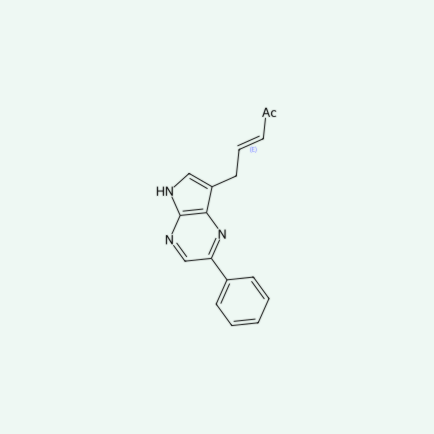 CC(=O)/C=C/Cc1c[nH]c2ncc(-c3ccccc3)nc12